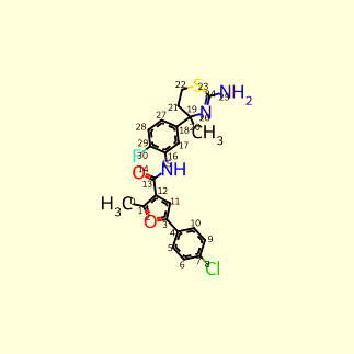 Cc1oc(-c2ccc(Cl)cc2)cc1C(=O)Nc1cc(C2(C)CCSC(N)=N2)ccc1F